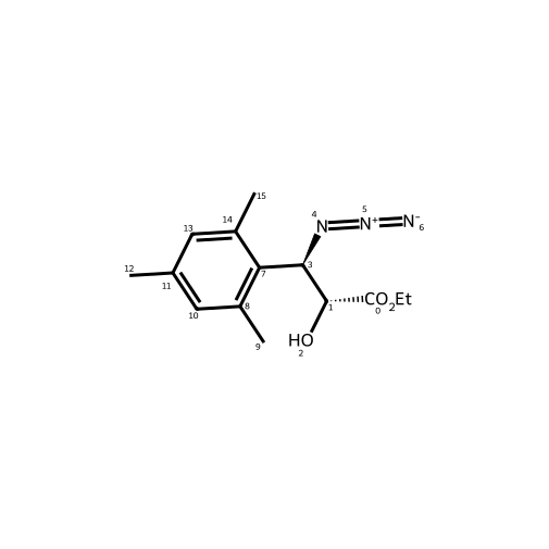 CCOC(=O)[C@H](O)[C@H](N=[N+]=[N-])c1c(C)cc(C)cc1C